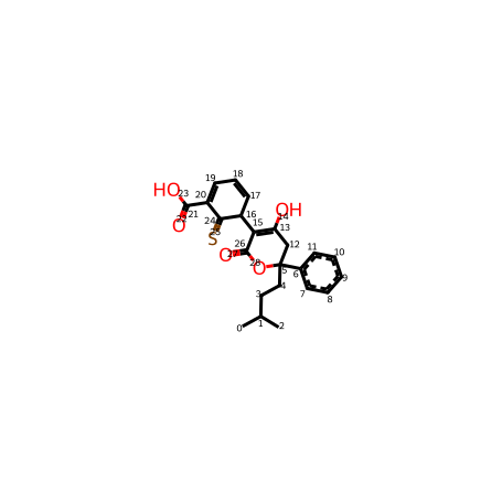 CC(C)CCC1(c2ccccc2)CC(O)=C(C2C=CC=C(C(=O)O)C2=S)C(=O)O1